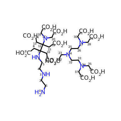 NCCNCCNC(CC(=O)O)(CC(=O)O)C(CC(=O)O)(CC(=O)O)N(CC(=O)O)CC(=O)O.O=C(O)CN(CCN(CC(=O)O)CC(=O)O)CCN(CC(=O)O)CC(=O)O